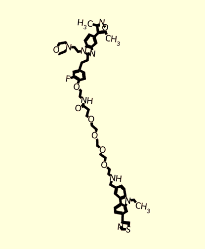 CCn1c2ccc(CNCCOCCOCCOCCOCCC(=O)NCCOc3ccc(CCc4nc5cc(-c6c(C)noc6C)ccc5n4CCN4CCOCC4)cc3F)cc2c2ccc(-c3cscn3)cc21